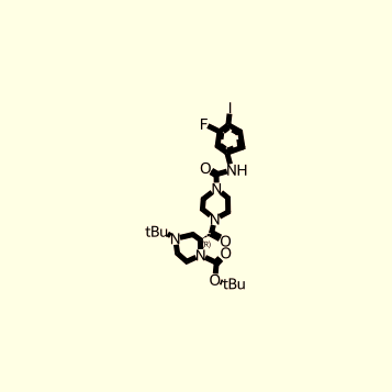 CC(C)(C)OC(=O)N1CCN(C(C)(C)C)C[C@@H]1C(=O)N1CCN(C(=O)Nc2ccc(I)c(F)c2)CC1